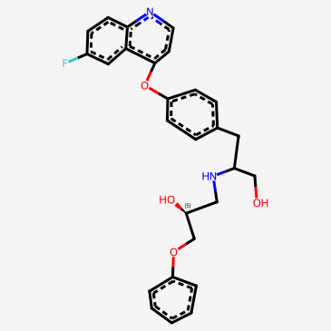 OCC(Cc1ccc(Oc2ccnc3ccc(F)cc23)cc1)NC[C@H](O)COc1ccccc1